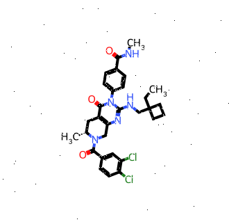 CCC1(CNc2nc3c(c(=O)n2-c2ccc(C(=O)NC)cc2)C[C@@H](C)N(C(=O)c2ccc(Cl)c(Cl)c2)C3)CCC1